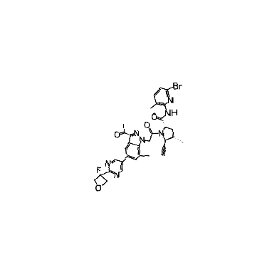 C#C[C@@H]1[C@@H](C)C[C@@H](C(=O)Nc2nc(Br)ccc2C)N1C(=O)Cn1nc(C(C)=O)c2cc(-c3cnc(C4(F)COC4)nc3)cc(C)c21